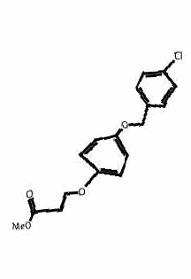 COC(=O)CCOc1ccc(OCc2ccc(Cl)cc2)cc1